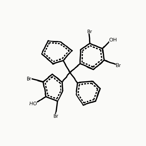 Oc1c(Br)cc(C(c2ccccc2)(c2ccccc2)c2cc(Br)c(O)c(Br)c2)cc1Br